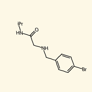 CC(C)NC(=O)CNCc1ccc(Br)cc1